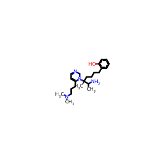 CC(N)[C@@](C)(CCCCc1ccccc1O)N1CN=CC=C1CCCN(C)C